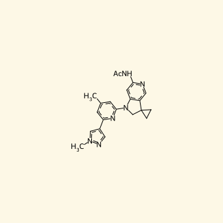 CC(=O)Nc1cc2c(cn1)C1(CC1)CN2c1cc(C)cc(-c2cnn(C)c2)n1